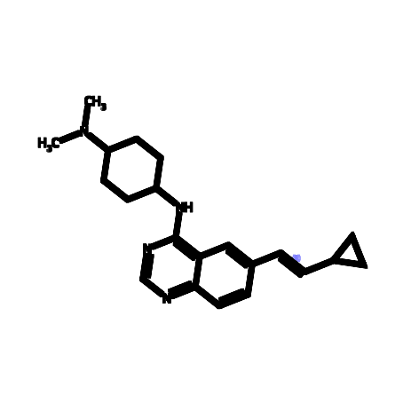 CN(C)C1CCC(Nc2ncnc3ccc(/C=C/C4CC4)cc23)CC1